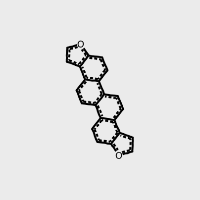 c1cc2c(ccc3c2ccc2c4ccc5occc5c4ccc32)o1